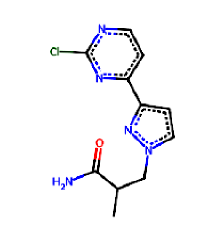 CC(Cn1ccc(-c2ccnc(Cl)n2)n1)C(N)=O